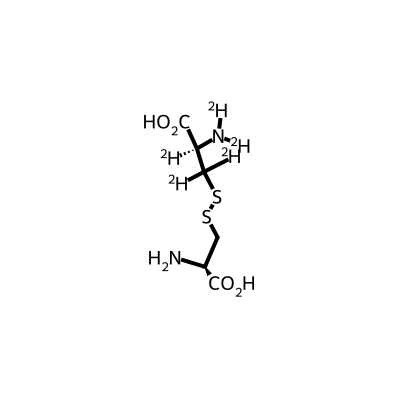 [2H]N([2H])[C@]([2H])(C(=O)O)C([2H])([2H])SSC[C@H](N)C(=O)O